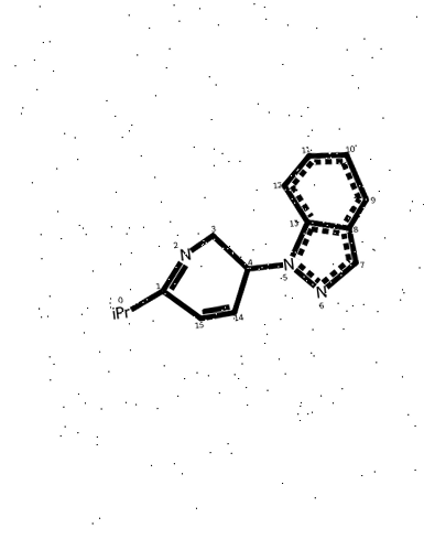 CC(C)C1=NCC(n2ncc3ccccc32)C=C1